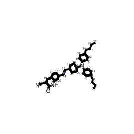 CCCCc1ccc(N(c2ccc(/C=C/c3ccc4cc(C#N)c(=O)[nH]c4c3)cc2)c2ccc(CCCC)cc2)cc1